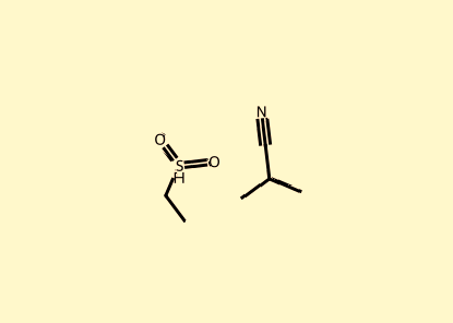 CC(C)C#N.CC[SH](=O)=O